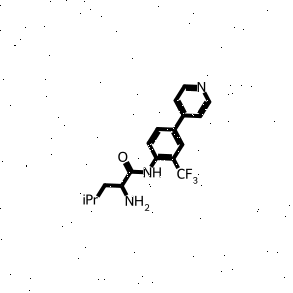 CC(C)CC(N)C(=O)Nc1ccc(-c2ccncc2)cc1C(F)(F)F